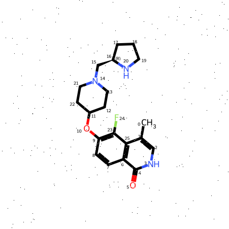 Cc1c[nH]c(=O)c2ccc(OC3CCN(C[C@H]4CCCN4)CC3)c(F)c12